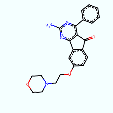 Nc1nc(-c2ccccc2)c2c(n1)-c1cc(OCCN3CCOCC3)ccc1C2=O